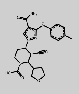 N#C[C@H]1C(C2CCOC2)N(C(=O)O)CC[C@H]1n1cc(C(N)=O)c(Nc2ccc(F)cc2)n1